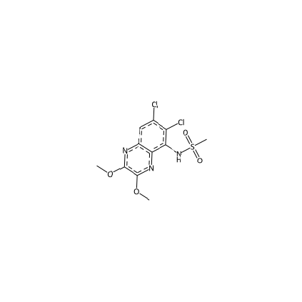 COc1nc2cc(Cl)c(Cl)c(NS(C)(=O)=O)c2nc1OC